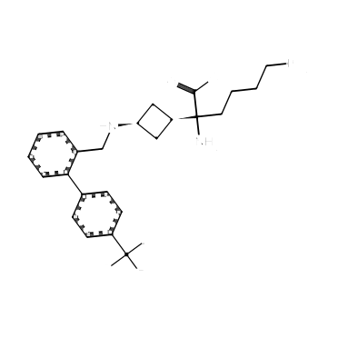 BCCCCC(N)(C(=O)O)[C@H]1C[C@@H](NCc2ccccc2-c2ccc(C(F)(F)F)cc2)C1